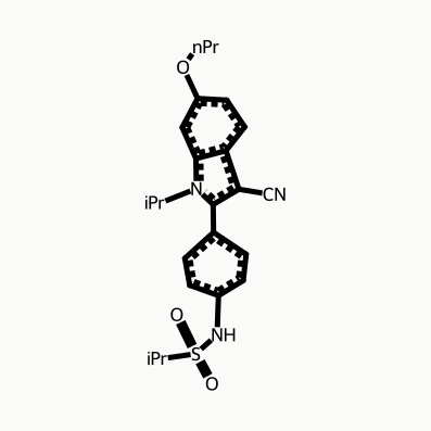 CCCOc1ccc2c(C#N)c(-c3ccc(NS(=O)(=O)C(C)C)cc3)n(C(C)C)c2c1